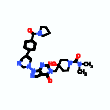 CN(C)C(=O)N1CCC(O)(Cn2cnc3c(cnn3N3C=C(c4ccc(C(=O)N5CCCC5)cc4)C=NC3)c2=O)CC1